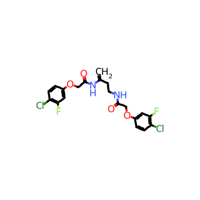 C=C(CCNC(=O)COc1ccc(Cl)c(F)c1)NC(=O)COc1ccc(Cl)c(F)c1